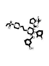 CCS(=O)(=O)N1CCN(CCN2C[C@H](C(=O)c3cccc(O)c3)[C@H](c3cccc(F)c3C)[C@@H](C(=O)N3CCC[C@H]3C(F)(F)F)C2)CC1